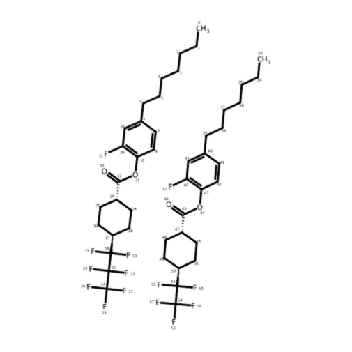 CCCCCCCc1ccc(OC(=O)[C@H]2CC[C@H](C(F)(F)C(F)(F)C(F)(F)F)CC2)c(F)c1.CCCCCCCc1ccc(OC(=O)[C@H]2CC[C@H](C(F)(F)C(F)(F)F)CC2)c(F)c1